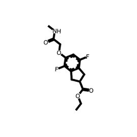 CCOC(=O)C1Cc2c(F)cc(OCC(=O)NC)c(F)c2C1